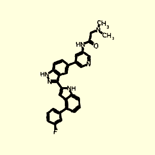 CN(C)CC(=O)Nc1cncc(-c2ccc3[nH]nc(-c4cc5c(-c6cccc(F)c6)cccc5[nH]4)c3c2)c1